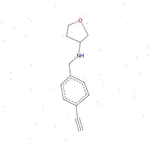 C#Cc1ccc(CNC2CCOC2)cc1